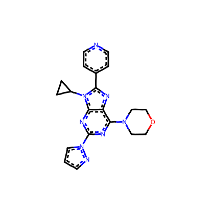 c1cnn(-c2nc(N3CCOCC3)c3nc(-c4ccncc4)n(C4CC4)c3n2)c1